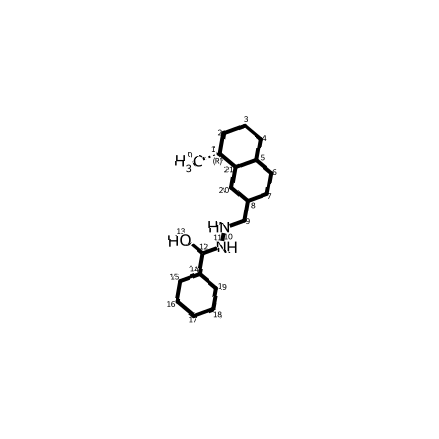 C[C@@H]1CCCC2CCC(CNNC(O)C3CCCCC3)CC21